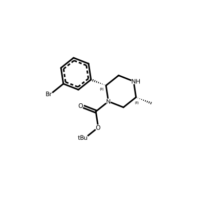 C[C@@H]1CN(C(=O)OC(C)(C)C)[C@H](c2cccc(Br)c2)CN1